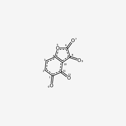 O=c1ccc2oc(=O)c(=O)c=2c1=O